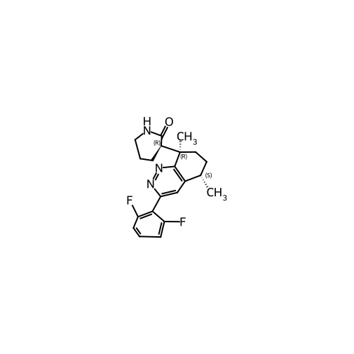 C[C@H]1CC[C@](C)([C@H]2CCCNC2=O)c2nnc(-c3c(F)cccc3F)cc21